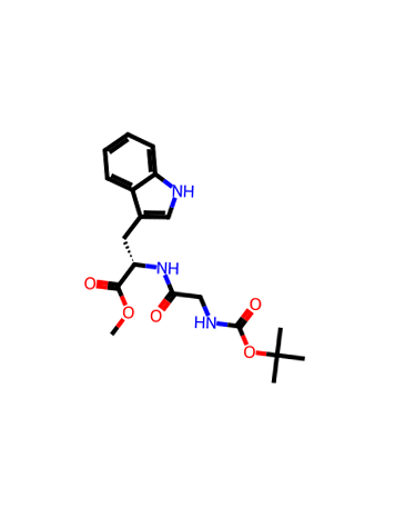 COC(=O)[C@H](Cc1c[nH]c2ccccc12)NC(=O)CNC(=O)OC(C)(C)C